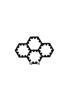 [c]1ccc2nnc3cccc4ccc1c2c43